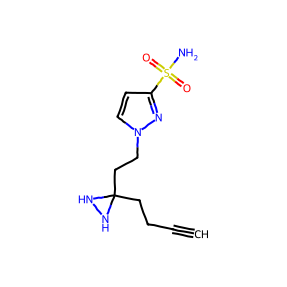 C#CCCC1(CCn2ccc(S(N)(=O)=O)n2)NN1